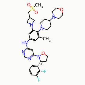 Cc1cc(Nc2cc(N3OCC[C@@H]3c3cccc(F)c3F)ncn2)cc(N2CC(CS(C)(=O)=O)C2)c1N1CCC(N2CCOCC2)CC1